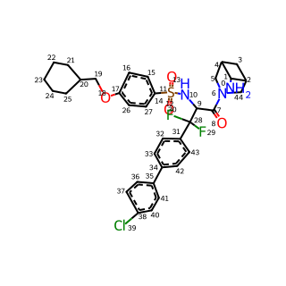 NC1C2CC1CN(C(=O)C(NS(=O)(=O)c1ccc(OCC3CCCCC3)cc1)C(F)(F)c1ccc(-c3ccc(Cl)cc3)cc1)C2